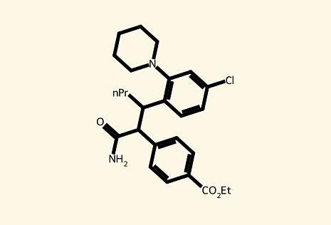 CCCC(c1ccc(Cl)cc1N1CCCCC1)C(C(N)=O)c1ccc(C(=O)OCC)cc1